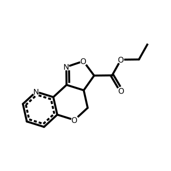 CCOC(=O)C1ON=C2c3ncccc3OCC21